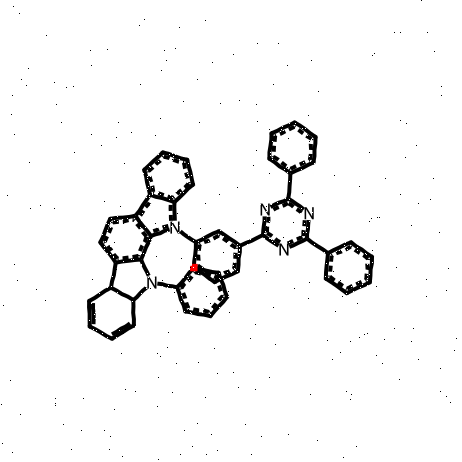 C1=CC2c3ccc4c5ccccc5n(-c5cccc(-c6nc(-c7ccccc7)nc(-c7ccccc7)n6)c5)c4c3N(c3ccccc3)C2C=C1